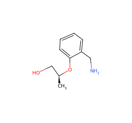 C[C@@H](CO)Oc1ccccc1CN